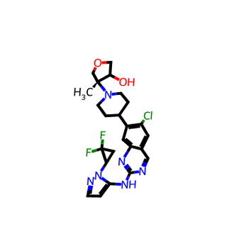 C[C@@]1(N2CCC(c3cc4nc(Nc5ccnn5C5CC5(F)F)ncc4cc3Cl)CC2)COCC1O